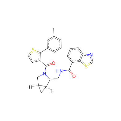 Cc1cccc(-c2sccc2C(=O)N2C[C@@H]3C[C@@H]3[C@H]2CNC(=O)c2cccc3ncsc23)c1